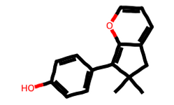 CC1(C)CC2=CC=COC2=C1c1ccc(O)cc1